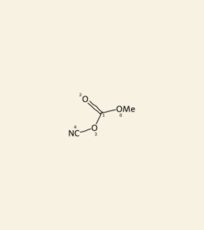 COC(=O)OC#N